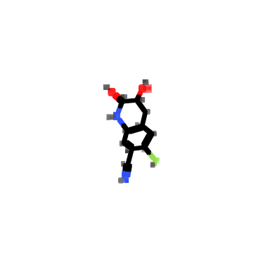 N#Cc1cc2c(cc1F)CC(O)C(=O)[N]2